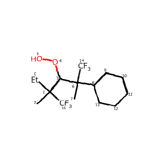 CCC(C)(C(OO)C(C)(C1CCCCC1)C(F)(F)F)C(F)(F)F